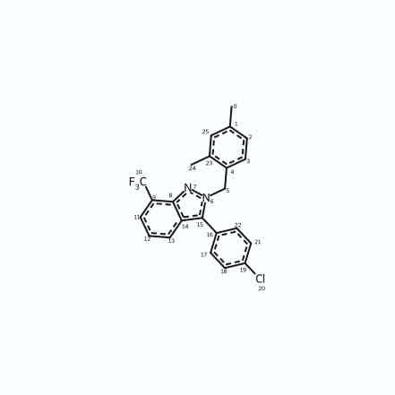 Cc1ccc(Cn2nc3c(C(F)(F)F)cccc3c2-c2ccc(Cl)cc2)c(C)c1